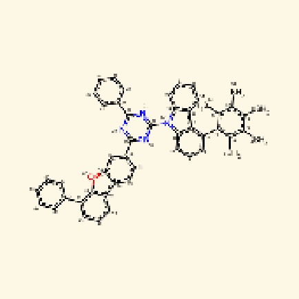 Bc1c(B)c(B)c(-c2cccc3c2c2ccccc2n3-c2nc(-c3ccccc3)nc(-c3ccc4c(c3)oc3c(-c5ccccc5)cccc34)n2)c(B)c1B